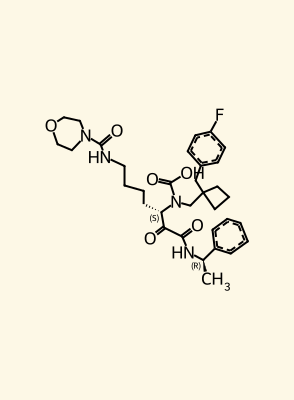 C[C@@H](NC(=O)C(=O)[C@H](CCCCNC(=O)N1CCOCC1)N(CC1(Cc2ccc(F)cc2)CCC1)C(=O)O)c1ccccc1